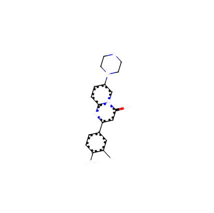 COc1ccc(-c2cc(=O)n3cc(N4CCNCC4)ccc3n2)cc1C